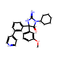 COc1cccc(C2(c3cccc(-c4ccncc4)c3)NC(=N)N(C3CCCCC3)C2=O)c1